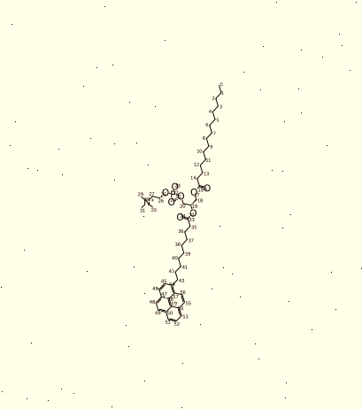 CCCCCCCCCCCCCCCC(=O)OC[C@H](COP(=O)([O-])OCC[N+](C)(C)C)OC(=O)CCCCCCCCCc1ccc2ccc3cccc4ccc1c2c34